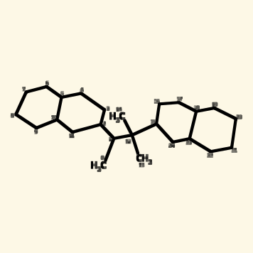 CC(C1CCC2CCCCC2C1)C(C)(C)C1CCC2CCCCC2C1